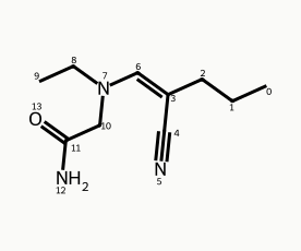 CCCC(C#N)=CN(CC)CC(N)=O